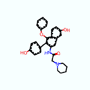 O=C(CN1CCCCC1)Nc1cc2cc(O)ccc2c(Oc2ccccc2)c1-c1ccc(O)cc1